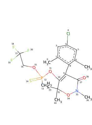 Cc1cc(Cl)cc(C)c1C1=C(OP(C)(=S)OCC(F)(F)F)C(C)(C)ON(C)C1=O